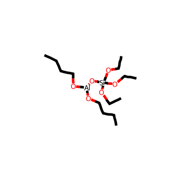 CCCC[O][Al]([O]CCCC)[O][Si](OCC)(OCC)OCC